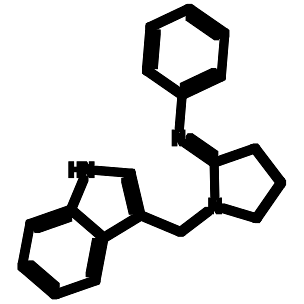 c1ccc(N=C2CCCN2Cc2c[nH]c3ccccc23)cc1